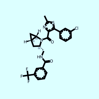 Cc1nc(C(=O)N2[C@H](CNC(=O)c3cccc(C(F)(F)F)c3)C[C@@H]3C[C@@H]32)c(-c2cccc(Cl)c2)s1